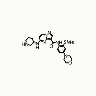 CSc1cc(N2CCOCC2)ccc1NC(=O)c1cnn2ccc(N[C@@H]3CCCNC3)nc12